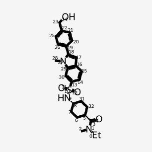 CCN(C)C(=O)[C@H]1CC[C@H](NS(=O)(=O)c2ccc3cc(-c4ccc(CO)cc4)n(C)c3c2)CC1